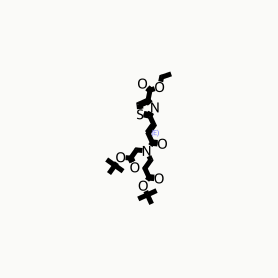 CCOC(=O)c1csc(/C=C/C(=O)N(CCC(=O)OC(C)(C)C)CC(=O)OC(C)(C)C)n1